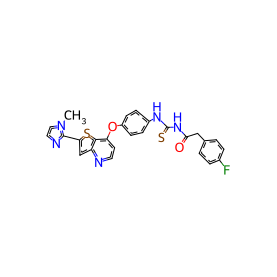 Cn1ccnc1-c1cc2nccc(Oc3ccc(NC(=S)NC(=O)Cc4ccc(F)cc4)cc3)c2s1